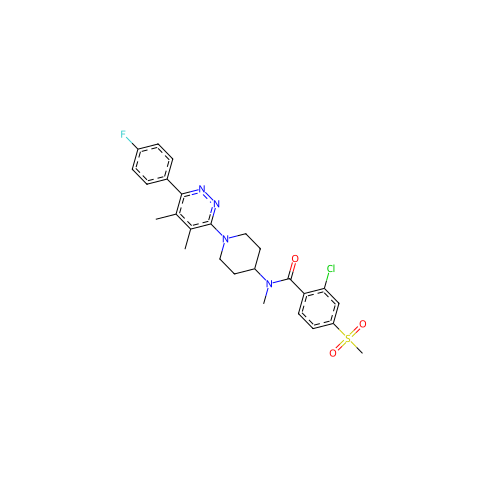 Cc1c(-c2ccc(F)cc2)nnc(N2CCC(N(C)C(=O)c3ccc(S(C)(=O)=O)cc3Cl)CC2)c1C